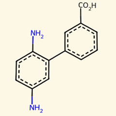 Nc1ccc(N)c(-c2cccc(C(=O)O)c2)c1